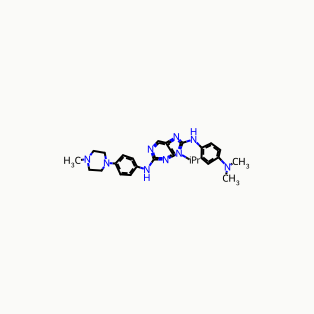 CC(C)n1c(Nc2ccc(N(C)C)cc2)nc2cnc(Nc3ccc(N4CCN(C)CC4)cc3)nc21